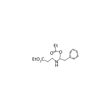 CCOC(=O)CCNC(Cc1ccccc1)OC(=O)CC